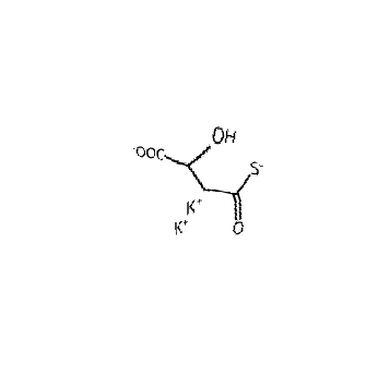 O=C([S-])CC(O)C(=O)[O-].[K+].[K+]